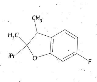 CC(C)C1(C)Oc2cc(F)ccc2C1C